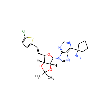 CC1(C)O[C@@H]2[C@H](O1)[C@@H](C=Cc1ccc(Cl)s1)O[C@H]2n1cnc2c(C3(N)CCCC3)ncnc21